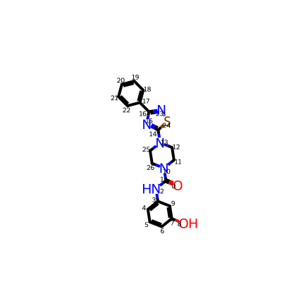 O=C(Nc1cccc(O)c1)N1CCN(c2nc(-c3ccccc3)ns2)CC1